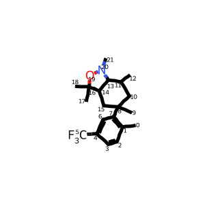 Cc1ccc(C(F)(F)F)cc1C1(C)CC(C)C2C(C1)C(C)(C)ON2C